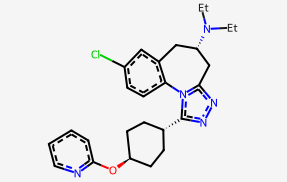 CCN(CC)[C@H]1Cc2cc(Cl)ccc2-n2c(nnc2[C@H]2CC[C@H](Oc3ccccn3)CC2)C1